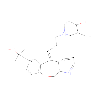 CCC1CN(CC/C=C2/c3cc(C(C)(C)O)ccc3OCC3N=CC=CC23)CCC1O